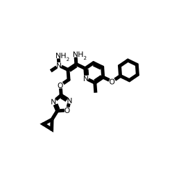 Cc1nc(/C(N)=C(\COc2noc(C3CC3)n2)N(C)N)ccc1OC1CCCCC1